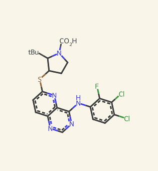 CC(C)(C)C1C(Sc2ccc3ncnc(Nc4ccc(Cl)c(Cl)c4F)c3n2)CCN1C(=O)O